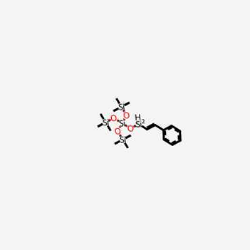 C[Si](C)(C)O[Si](O[SiH2]C=Cc1ccccc1)(O[Si](C)(C)C)O[Si](C)(C)C